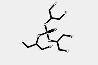 O=P(OC(CCl)CBr)(OC(CCl)CBr)OC(CCl)CBr